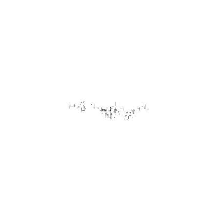 C=CC(=O)Nc1cc(Nc2cc(-c3ccnc(N4CCn5c(cc6c5CC(C)(C)C6)C4=O)c3CO)cn(C)c2=O)ncc1N1CCN(C2CCN(c3ccc4c(c3)C(=O)N(C3CCC(=O)NC3=O)C4=O)[C@H](C)C2)C[C@@H]1C